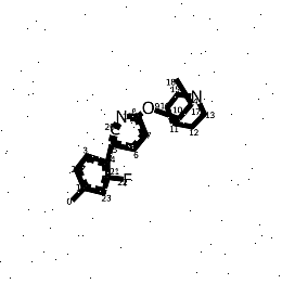 Cc1ccc(-c2ccc(OC3C4CCN(CC4)C3C)nc2)c(F)c1